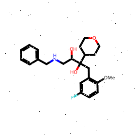 COc1ccc(F)cc1CC(O)(C(O)CNCc1ccccc1)C1CCOCC1